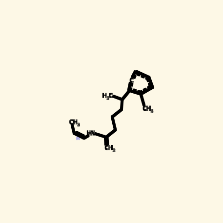 C=C(CCCC(C)c1ccccc1C)N/C=C\C